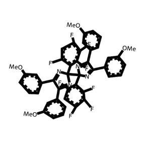 COc1cccc(C2=NC(c3c(F)cc(F)c(F)c3F)(C3(c4c(F)cc(F)c(F)c4F)N=C(c4cccc(OC)c4)C(c4cccc(OC)c4)=N3)N=C2c2cccc(OC)c2)c1